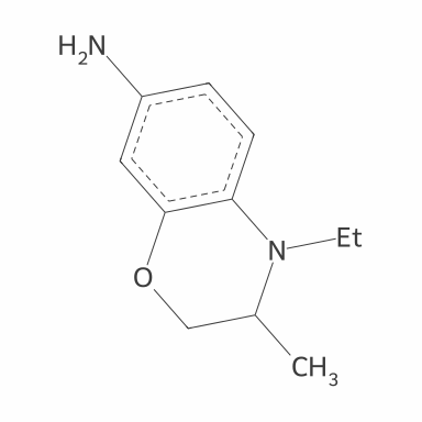 CCN1c2ccc(N)cc2OCC1C